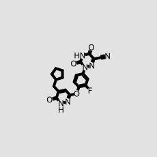 N#Cc1nn(-c2ccc(Oc3cc(CC4CCCC4)c(=O)[nH]n3)c(F)c2)c(=O)[nH]c1=O